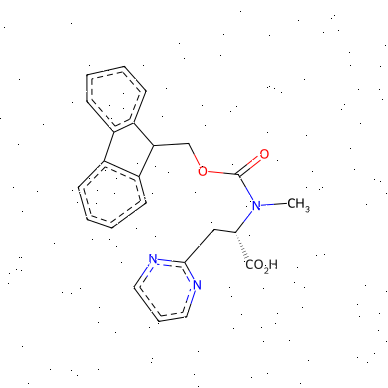 CN(C(=O)OCC1c2ccccc2-c2ccccc21)[C@@H](Cc1ncccn1)C(=O)O